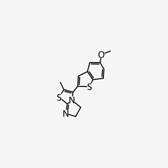 COc1ccc2sc(C3=C(C)SC4=NCCN43)cc2c1